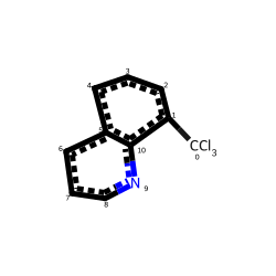 ClC(Cl)(Cl)c1cccc2cccnc12